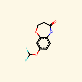 O=C1CCOc2cc(OC(F)F)ccc2N1